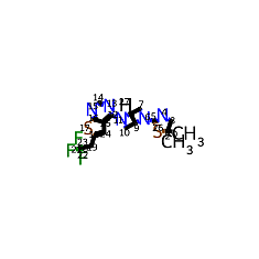 CC1(C)CN=C(N2C[C@@H]3C2CN3c2ncnc3sc(CC(F)(F)F)cc23)S1